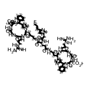 N=C(N)NCCC[C@@H]1NC(=O)C(CCCNC(=O)CC[C@H](NC(=O)Cn2cc(CCCF)nn2)C(=O)NCCCC[C@H]2C(=O)N[C@@H](CCCNC(=N)N)C(=O)NCC(=O)N[C@@H](CC(=O)O)C(=O)NC(c3ccccc3)c3cn2nn3)n2cc(nn2)C(c2ccccc2)NC(=O)C(C(=O)O)NC(=O)CNC1=O